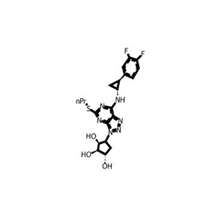 CCCSc1nc(N[C@@H]2C[C@H]2c2ccc(F)c(F)c2)c2nnn(C3C[C@H](O)[C@@H](O)[C@H]3O)c2n1